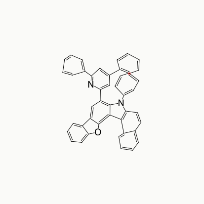 c1ccc(-c2cc(-c3ccccc3)nc(-c3cc4c5ccccc5oc4c4c5c6ccccc6ccc5n(-c5ccccc5)c34)c2)cc1